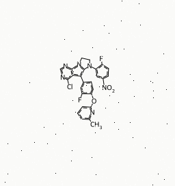 Cc1cccc(Oc2ccc(-c3c4n(c5ncnc(Cl)c35)CCN4c3cc([N+](=O)[O-])ccc3F)cc2F)n1